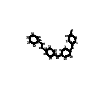 Cc1ccc(CC2=C=C=C(Cc3ccc(CC[n+]4ccccc4)cc3)C=C2)cc1